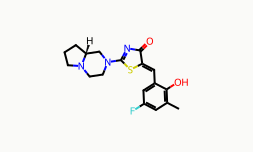 Cc1cc(F)cc(/C=C2\SC(N3CCN4CCC[C@@H]4C3)=NC2=O)c1O